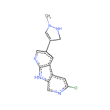 CN1C=C(c2cnc3[nH]c4cnc(Cl)cc4c3c2)CN1